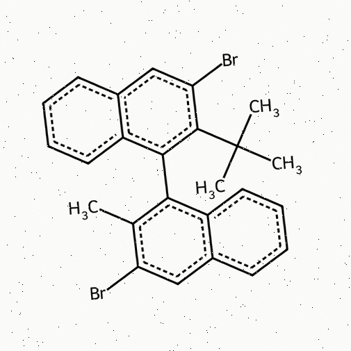 Cc1c(Br)cc2ccccc2c1-c1c(C(C)(C)C)c(Br)cc2ccccc12